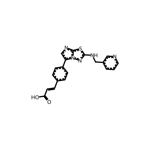 O=C(O)C=Cc1ccc(-c2cnc3sc(NCc4cccnc4)nn23)cc1